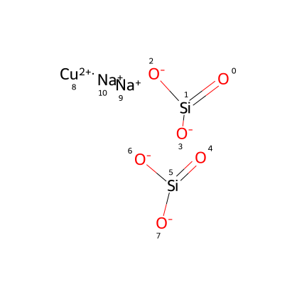 O=[Si]([O-])[O-].O=[Si]([O-])[O-].[Cu+2].[Na+].[Na+]